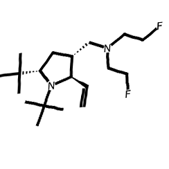 C=C[C@@H]1[C@@H](CN(CCF)CCF)C[C@@H](C(C)(C)C)N1C(C)(C)C